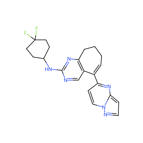 FC1(F)CCC(Nc2ncc3c(n2)CCCC=C3c2ccn3nccc3n2)CC1